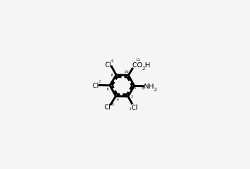 Nc1c(Cl)c(Cl)c(Cl)c(Cl)c1C(=O)O